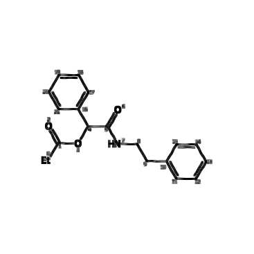 CCC(=O)OC(C(=O)NCCc1ccccc1)c1ccccc1